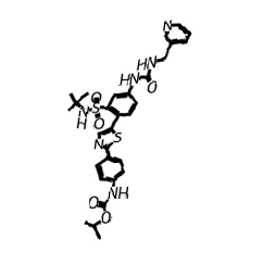 CC(C)OC(=O)Nc1ccc(-c2ncc(-c3ccc(NC(=O)NCc4cccnc4)cc3S(=O)(=O)NC(C)(C)C)s2)cc1